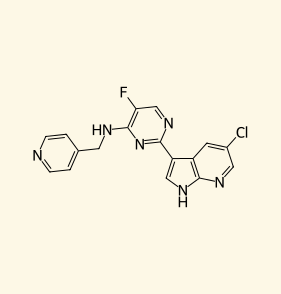 Fc1cnc(-c2c[nH]c3ncc(Cl)cc23)nc1NCc1ccncc1